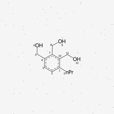 CCCc1ccc(CO)c(CO)c1CO